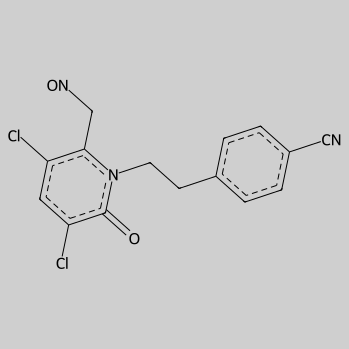 N#Cc1ccc(CCn2c(CN=O)c(Cl)cc(Cl)c2=O)cc1